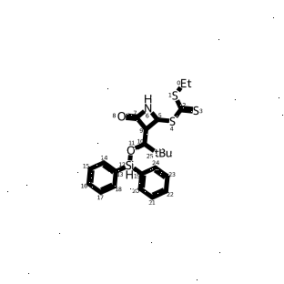 CCSC(=S)SC1NC(=O)C1C(O[SiH](c1ccccc1)c1ccccc1)C(C)(C)C